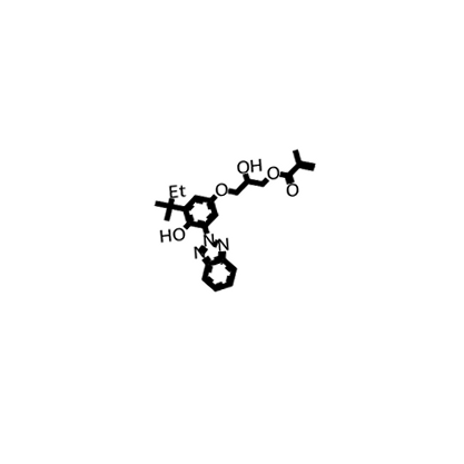 C=C(C)C(=O)OCC(O)COc1cc(-n2nc3ccccc3n2)c(O)c(C(C)(C)CC)c1